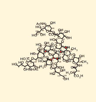 CC(=O)N[C@H]1C([C@H](O)[C@H](O)CO)O[C@@](OCC2O[C@@H](O[C@H]3C(O)C(C)[C@H](OC([C@H](O)OCC4O[C@@H](O[C@@H]5C(CO)O[C@@H](O[C@@H]6C(CO)O[C@@H](NC(=O)CC(C)C(=O)O)[C@@H](C)C6O)[C@@H](C)C5O)[C@H](O)C(O[C@H]5O[C@H](CO)[C@@H](O)C(O)C5O[C@@H]5OC(CO)[C@@H](O[C@@H]6OC(CO[C@]7(C(=O)O)C[C@@H](O)[C@@H](NC(C)=O)C([C@H](O)[C@H](O)CO)O7)[C@H](O)[C@H](O)C6O)C(O)[C@@H]5C)[C@@H]4O)[C@@H](O)[C@H](O)CCO)O[C@H]3CO)[C@@H](O)C(O)[C@H]2O)(C(=O)O)C[C@H]1O